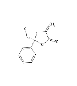 C=C1C[C@](CCl)(c2ccccc2)OC1=O